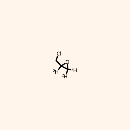 [2H]C1([2H])OC1([2H])CCl